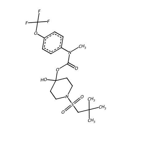 CN(C(=O)OC1(O)CCN(S(=O)(=O)CC(C)(C)C)CC1)c1ccc(OC(F)(F)F)cc1